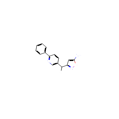 CC(c1ccc(-c2ccccc2)nc1)c1cc(N)on1